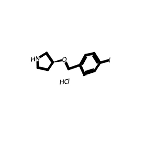 Cl.Ic1ccc(CO[C@H]2CCNC2)cc1